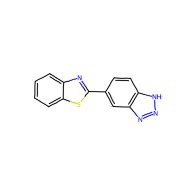 [c]1c(-c2nc3ccccc3s2)ccc2[nH]nnc12